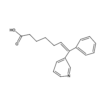 O=C(O)CCCCC=C(c1ccccc1)c1cccnc1